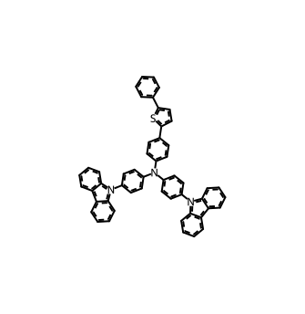 c1ccc(-c2ccc(-c3ccc(N(c4ccc(-n5c6ccccc6c6ccccc65)cc4)c4ccc(-n5c6ccccc6c6ccccc65)cc4)cc3)s2)cc1